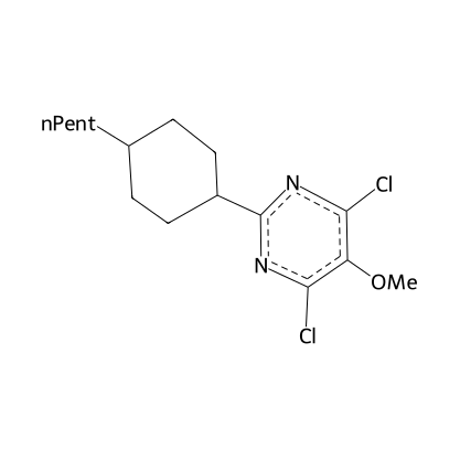 CCCCCC1CCC(c2nc(Cl)c(OC)c(Cl)n2)CC1